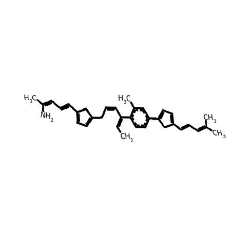 C/C=C(/C=C\CC1=CC=C(/C=C/C=C(/C)N)C1)c1ccc(C2=CC=C(/C=C/C=C(C)C)C2)cc1C